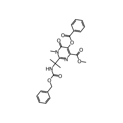 COC(=O)c1nc(C(C)(C)NC(=O)OCc2ccccc2)n(C)c(=O)c1OC(=O)c1ccccc1